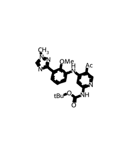 COc1c(Nc2cc(NC(=O)OC(C)(C)C)ncc2C(C)=O)cccc1-c1ncn(C)n1